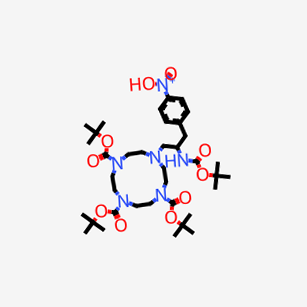 CC(C)(C)OC(=O)NC(Cc1ccc([N+](=O)O)cc1)CN1CCN(C(=O)OC(C)(C)C)CCN(C(=O)OC(C)(C)C)CCN(C(=O)OC(C)(C)C)CC1